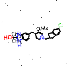 CO[C@H]1CN(CC2Cc3ccc(Cl)cc3C2)CC[C@H]1Cc1ccc2[nH]c(C(C)(C)O)nc2c1